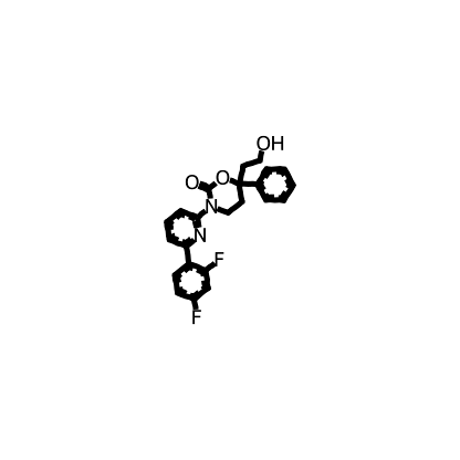 O=C1OC(CCO)(c2ccccc2)CCN1c1cccc(-c2ccc(F)cc2F)n1